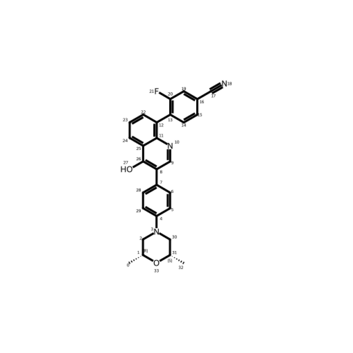 C[C@@H]1CN(c2ccc(-c3cnc4c(-c5ccc(C#N)cc5F)cccc4c3O)cc2)C[C@H](C)O1